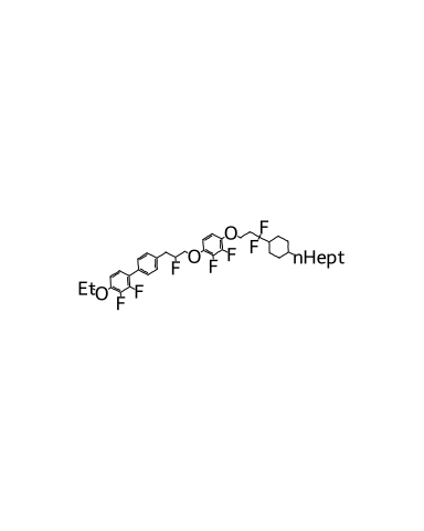 CCCCCCCC1CCC(C(F)(F)CCOc2ccc(OCC(F)Cc3ccc(-c4ccc(OCC)c(F)c4F)cc3)c(F)c2F)CC1